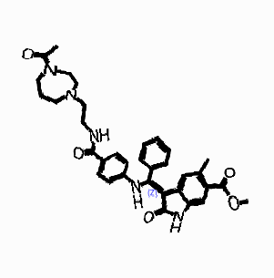 COC(=O)c1cc2c(cc1C)/C(=C(/Nc1ccc(C(=O)NCCN3CCCN(C(C)=O)CC3)cc1)c1ccccc1)C(=O)N2